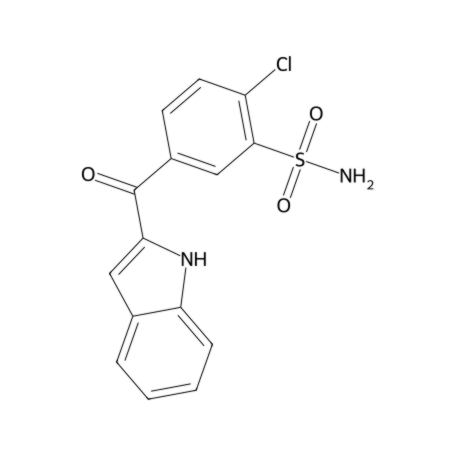 NS(=O)(=O)c1cc(C(=O)c2cc3ccccc3[nH]2)ccc1Cl